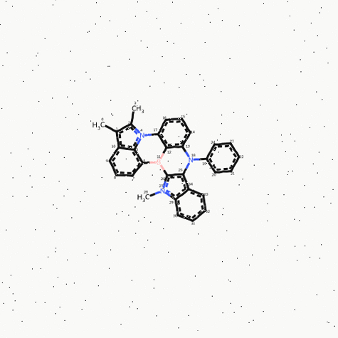 Cc1c(C)n2c3c(cccc13)B1c3c(cccc3-2)N(c2ccccc2)c2c1n(C)c1ccccc21